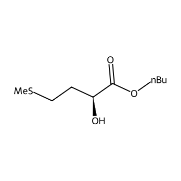 CCCCOC(=O)[C@@H](O)CCSC